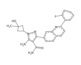 CC1(O)CC(n2nc(-c3ccc4ccc(-c5ccccc5F)nc4c3)c(C(N)=O)c2N)C1